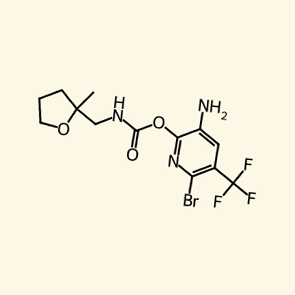 CC1(CNC(=O)Oc2nc(Br)c(C(F)(F)F)cc2N)CCCO1